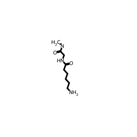 C=NC(=O)CNC(=O)CCCCCN